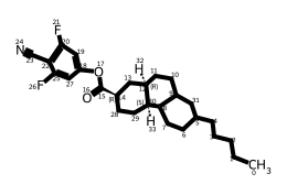 CCCCCC1CCC2C(CC[C@@H]3C[C@H](C(=O)Oc4cc(F)c(C#N)c(F)c4)CC[C@H]23)C1